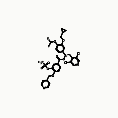 CS(=O)(=O)Oc1cc(C(=O)O[C@@H](Cc2c(Cl)cncc2Cl)c2ccc(OC(F)F)c(OCC3CC3)c2)ccc1OCc1ccncc1